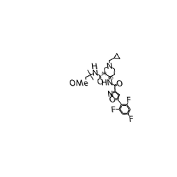 COCC(C)(C)NC(=O)[C@@H]1CN(CC2CC2)CC[C@H]1NC(=O)c1cc(-c2c(F)cc(F)cc2F)on1